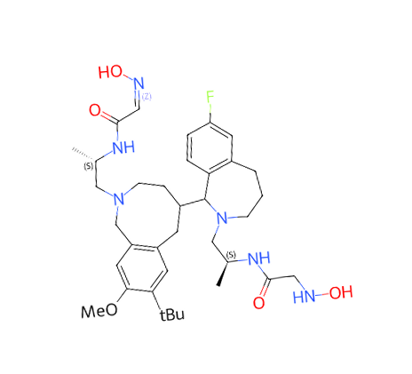 COc1cc2c(cc1C(C)(C)C)CC(C1c3ccc(F)cc3CCCN1C[C@H](C)NC(=O)CNO)CCN(C[C@H](C)NC(=O)/C=N\O)C2